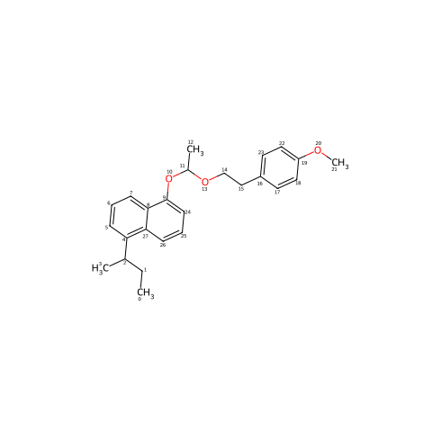 CCC(C)c1cccc2c(OC(C)OCCc3ccc(OC)cc3)cccc12